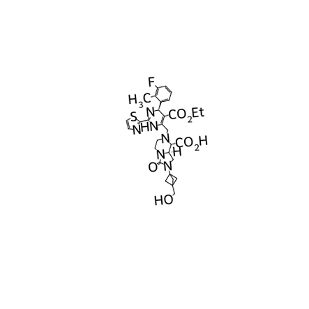 CCOC(=O)C1=C(CN2CCN3C(=O)N(C45CC(CO)(C4)C5)C[C@@H]3C2C(=O)O)NC(c2nccs2)=N[C@H]1c1cccc(F)c1C